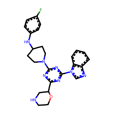 Fc1ccc(NC2CCN(c3nc(C4CNCCO4)nc(-n4cnc5ccccc54)n3)CC2)cc1